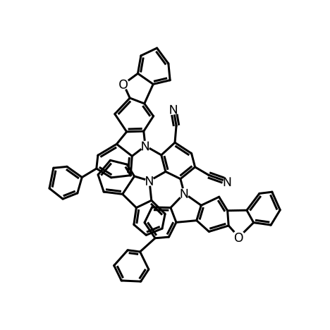 N#Cc1cc(C#N)c(-n2c3ccc(-c4ccccc4)cc3c3cc4oc5ccccc5c4cc32)c(-n2c3ccccc3c3ccccc32)c1-n1c2ccc(-c3ccccc3)cc2c2cc3oc4ccccc4c3cc21